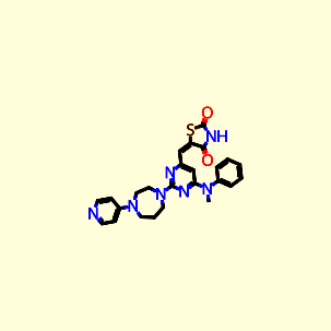 CN(c1ccccc1)c1cc(C=C2SC(=O)NC2=O)nc(N2CCCN(c3ccncc3)CC2)n1